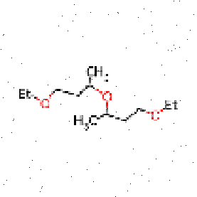 CCOCCC(C)OC(C)CCOCC